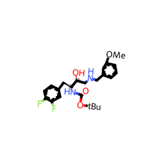 COc1cccc(CNC[C@@H](O)[C@H](Cc2ccc(F)c(F)c2)NC(=O)OC(C)(C)C)c1